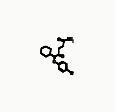 NC(=O)CCC(=O)N(Oc1ccc(Br)cc1)C1CCCCC1